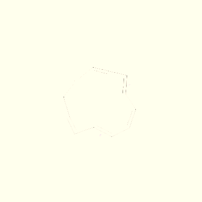 [C]1=C/C=C/C=C\C=C\C=C/CC\1